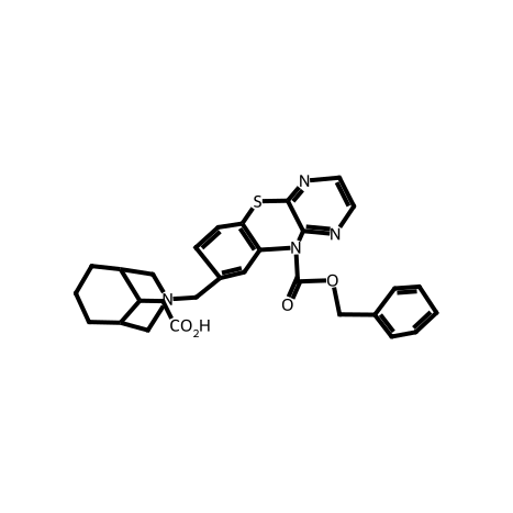 O=C(O)CC1C2CCCC1CN(Cc1ccc3c(c1)N(C(=O)OCc1ccccc1)c1nccnc1S3)C2